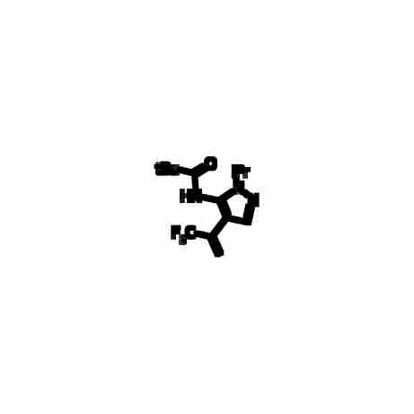 C=C(c1cnn(C(C)C)c1NC(=O)C(C)(C)C)C(F)(F)F